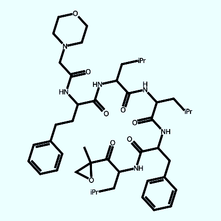 CC(C)CC(NC(=O)C(CCc1ccccc1)NC(=O)CN1CCOCC1)C(=O)NC(CC(C)C)C(=O)NC(Cc1ccccc1)C(=O)NC(CC(C)C)C(=O)C1(C)CO1